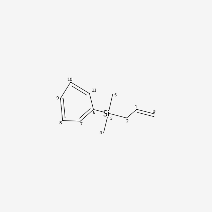 C=CC[Si](C)(C)c1cc[c]cc1